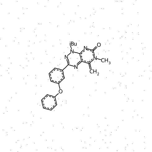 C=c1c2c(nc(=O)n1C)N(C(C)CC)N=C(c1cccc(Oc3ccccc3)c1)N=2